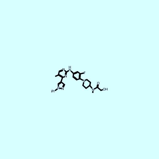 Cc1cnc(Nc2ccc(N3CCC(N(C)C(=O)CO)CC3)c(F)c2)nc1-c1cnn(C(C)C)c1